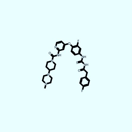 CN1CCN(C2CCN(C(=O)Nc3cc(Oc4ccc(NC(=S)NC(=O)Cc5ccc(F)cc5)cc4F)ccn3)CC2)CC1